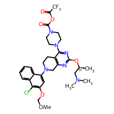 COCOc1cc(N2CCc3c(nc(O[C@@H](C)CN(C)C)nc3N3CCN(C(=O)OC(=O)C(F)(F)F)CC3)C2)c2ccccc2c1Cl